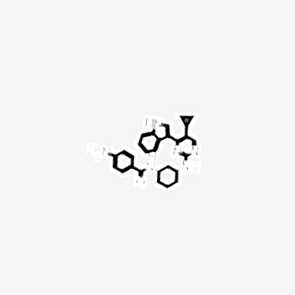 Nc1ccc(C(=O)N[C@H]2CCC[C@@H](Nc3ncc(C4CC4)c(-c4c[nH]c5ccccc45)n3)C2)cc1